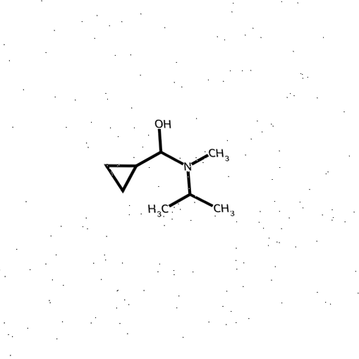 CC(C)N(C)C(O)C1CC1